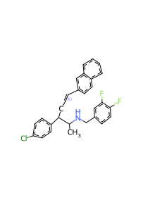 CC(NCc1ccc(F)c(F)c1)C(C/C=C/c1ccc2ccccc2c1)c1ccc(Cl)cc1